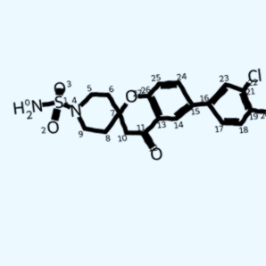 NS(=O)(=O)N1CCC2(CC1)CC(=O)c1cc(-c3ccc(Cl)c(Cl)c3)ccc1O2